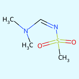 CN(C)/C=N\S(C)(=O)=O